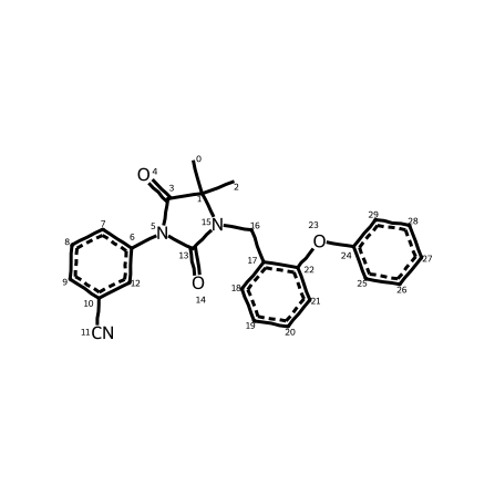 CC1(C)C(=O)N(c2cccc(C#N)c2)C(=O)N1Cc1ccccc1Oc1ccccc1